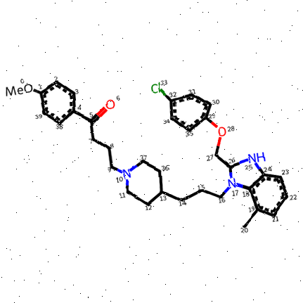 COc1ccc(C(=O)CCCN2CCC(CCCN3c4c(C)cccc4NC3COc3ccc(Cl)cc3)CC2)cc1